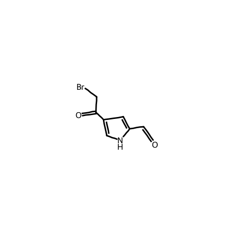 O=Cc1cc(C(=O)CBr)c[nH]1